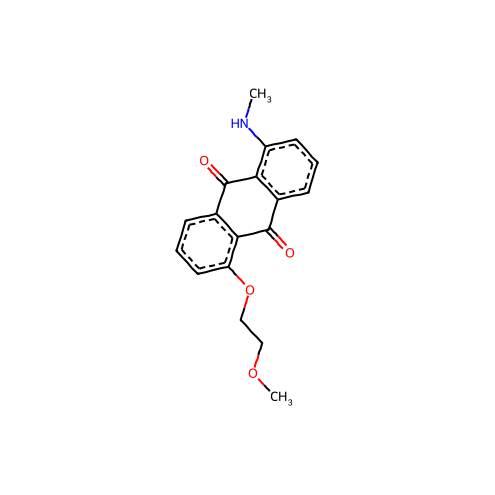 CNc1cccc2c1C(=O)c1cccc(OCCOC)c1C2=O